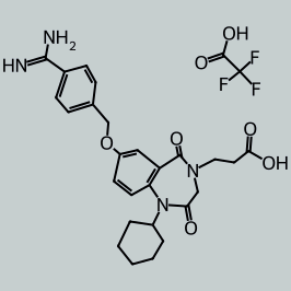 N=C(N)c1ccc(COc2ccc3c(c2)C(=O)N(CCC(=O)O)CC(=O)N3C2CCCCC2)cc1.O=C(O)C(F)(F)F